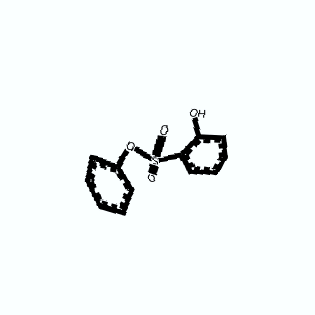 O=S(=O)(Oc1ccccc1)c1ccccc1O